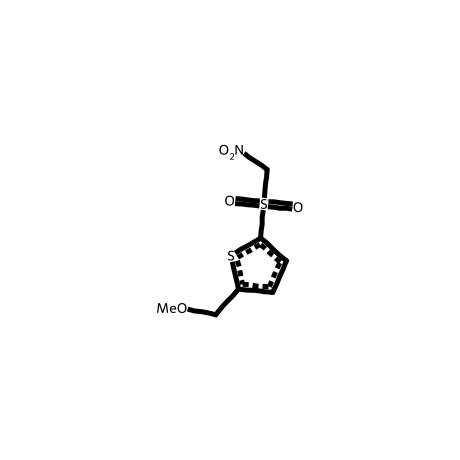 COCc1ccc(S(=O)(=O)C[N+](=O)[O-])s1